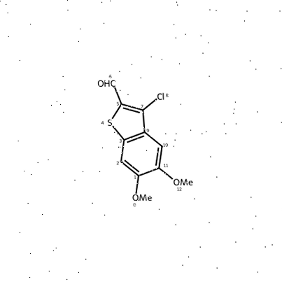 COc1cc2sc(C=O)c(Cl)c2cc1OC